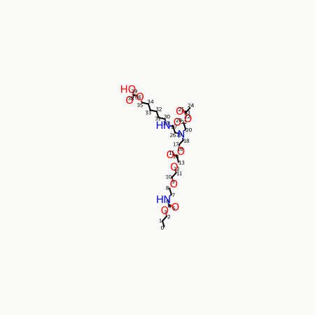 CCCOC(=O)NCCOCCOCC(=O)OCCN(CCOC(C)=O)CC(=O)NCCCCCCOC(=O)O